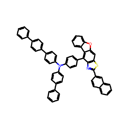 c1ccc(-c2ccc(-c3ccc(N(c4ccc(-c5ccccc5)cc4)c4ccc(-c5c6nc(-c7ccc8ccccc8c7)sc6cc6oc7ccccc7c56)cc4)cc3)cc2)cc1